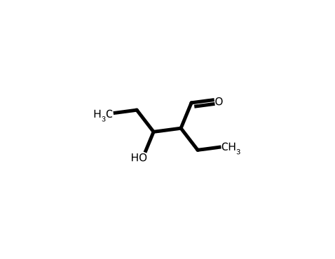 CCC(O)C(C=O)CC